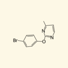 Cc1ccnc(Oc2ccc(Br)cc2)n1